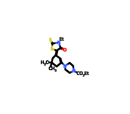 CCOC(=O)N1CCN(C2=CC(=C3SC(=S)N(CC)C3=O)CC(C)(C)C2)CC1